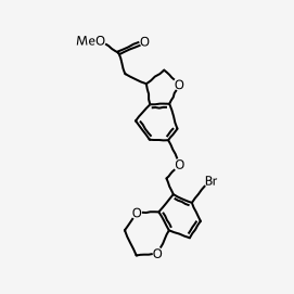 COC(=O)CC1COc2cc(OCc3c(Br)ccc4c3OCCO4)ccc21